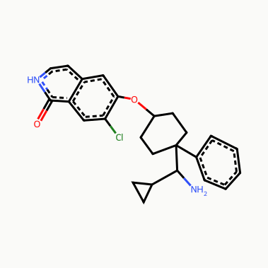 NC(C1CC1)C1(c2ccccc2)CCC(Oc2cc3cc[nH]c(=O)c3cc2Cl)CC1